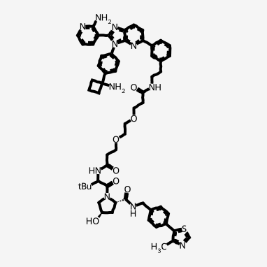 Cc1ncsc1-c1ccc(CNC(=O)[C@@H]2C[C@@H](O)CN2C(=O)C(NC(=O)CCOCCOCCC(=O)NCCc2cccc(-c3ccc4nc(-c5cccnc5N)n(-c5ccc(C6(N)CCC6)cc5)c4n3)c2)C(C)(C)C)cc1